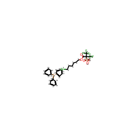 O=C(OCCCCCCBr)C(C(F)(F)F)(C(F)(F)F)S(=O)(=O)[O-].c1ccc([S+](c2ccccc2)c2ccccc2)cc1